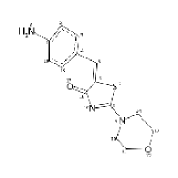 Nc1ccc(/C=C2/SC(N3CCOCC3)=NC2=O)cc1